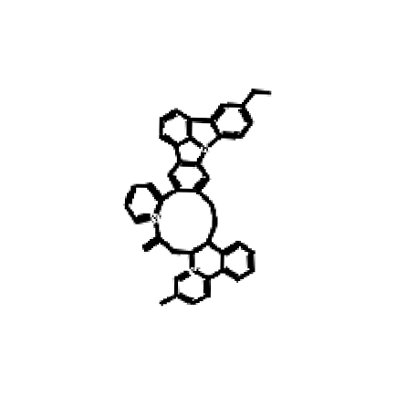 C=C1CC2C(CCc3cc4c(cc3-c3cccc[n+]31)c1cccc3c5cc(CC)ccc5n4c31)c1ccccc1-c1ccc(C)c[n+]12